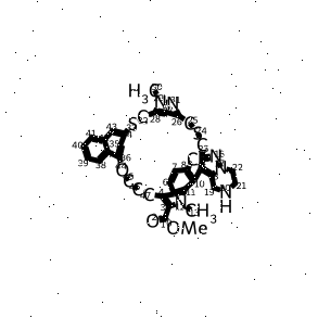 COC(=O)c1c2c3ccc(Cl)c(c3n1C)-c1c(nn3c1CNCC3)CSCc1cc(n(C)n1)CSc1cc(c3ccccc3c1)OCCC2